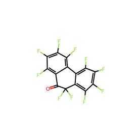 O=C1c2c(F)c(F)c(F)c(F)c2-c2c(F)c(F)c(F)c(F)c2C1(F)F